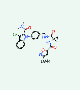 COc1cc(C(=O)NC2(C(=O)NCc3ccc(-n4c(C(=O)N(C)C)c(Cl)c5ccccc54)cc3)CC2)on1